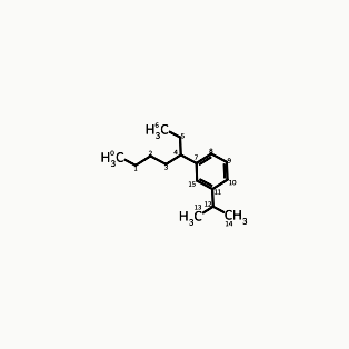 CCCCC(CC)c1cccc(C(C)C)c1